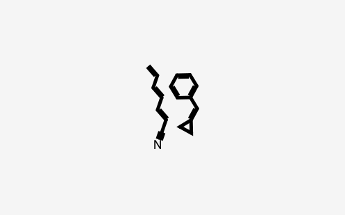 C(=C1CC1)c1ccccc1.C=CC=CC=CC#N